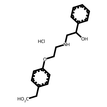 Cl.O=C(O)Cc1ccc(OCCNCC(O)c2ccccc2)cc1